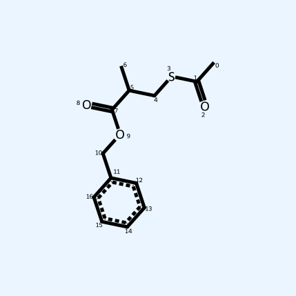 CC(=O)SCC(C)C(=O)OCc1ccccc1